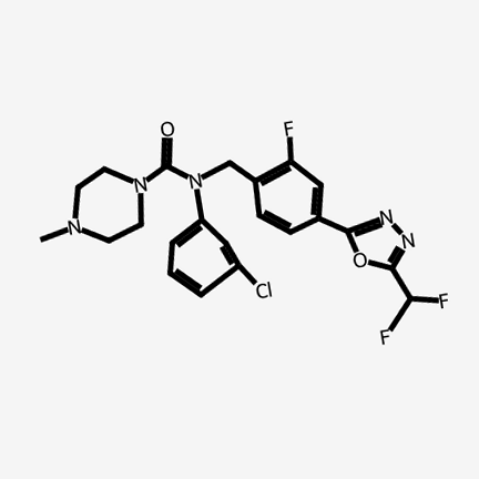 CN1CCN(C(=O)N(Cc2ccc(-c3nnc(C(F)F)o3)cc2F)c2cccc(Cl)c2)CC1